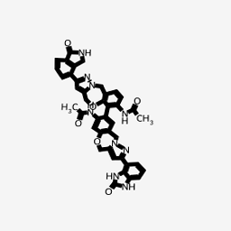 CC(=O)Nc1cc2c(cc1-c1c(NC(C)=O)ccc3c1OCc1cc(-c4cccc5c4CNC5=O)nn1C3)Cn1nc(-c3cccc4[nH]c(=O)[nH]c34)cc1CO2